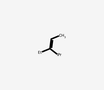 CC=C(CC)C(C)C